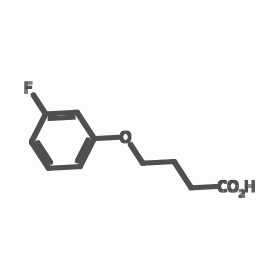 O=C(O)CCCOc1cccc(F)c1